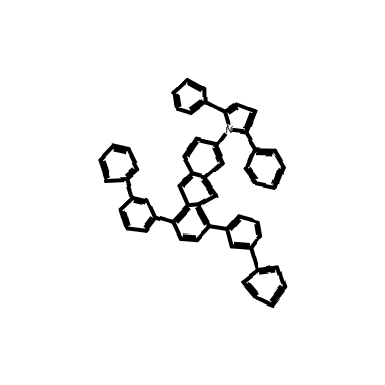 c1ccc(-c2cccc(-c3ccc(-c4cccc(-c5ccccc5)c4)c4cc5cc(-n6c(-c7ccccc7)ccc6-c6ccccc6)ccc5cc34)c2)cc1